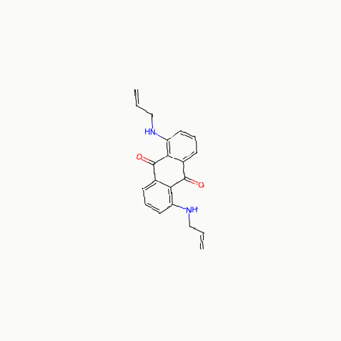 C=CCNc1cccc2c1C(=O)c1cccc(NCC=C)c1C2=O